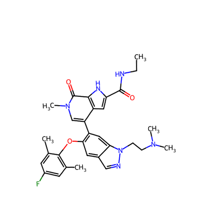 CCNC(=O)c1cc2c(-c3cc4c(cnn4CCN(C)C)cc3Oc3c(C)cc(F)cc3C)cn(C)c(=O)c2[nH]1